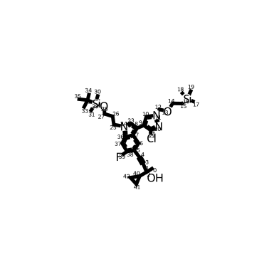 CC(O)(C#Cc1cc2c(-c3cn(COCC[Si](C)(C)C)nc3Cl)cn(CCCO[Si](C)(C)C(C)(C)C)c2cc1F)C1CC1